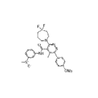 COc1ccc(-c2nnc(N3CCCC(F)(F)CC3)c(C(=O)Nc3cccc([S+](C)[O-])c3)c2C)cc1